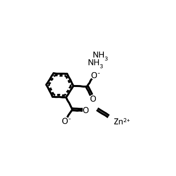 C=C.N.N.O=C([O-])c1ccccc1C(=O)[O-].[Zn+2]